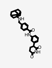 O=C1CCC(c2cccc(NC(=O)c3ccc(CNC45CC6CC(CC(C6)C4)C5)cc3)c2)C(=O)N1